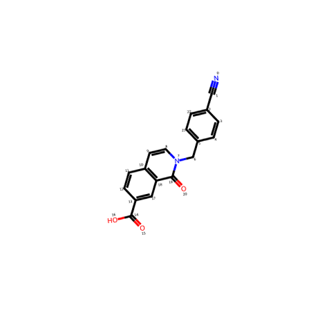 N#Cc1ccc(Cn2ccc3ccc(C(=O)O)cc3c2=O)cc1